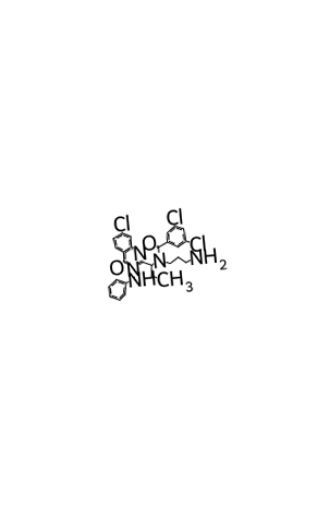 CCC(c1nc2cc(Cl)ccc2c(=O)n1Nc1ccccc1)N(CCCN)C(=O)c1cc(Cl)cc(Cl)c1